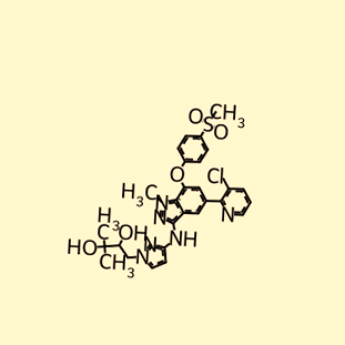 Cn1nc(Nc2ccn(CC(O)C(C)(C)O)n2)c2cc(-c3ncccc3Cl)cc(Oc3ccc(S(C)(=O)=O)cc3)c21